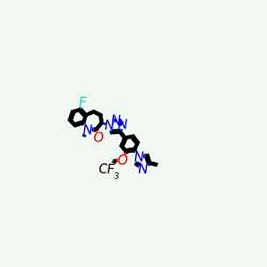 Cc1cn(-c2ccc(-c3cn([C@@H]4CCc5c(F)cccc5N(C)C4=O)nn3)cc2OCC(F)(F)F)cn1